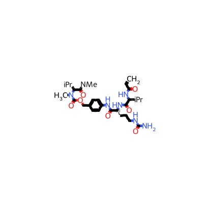 C=CC(=O)NC(C(=O)N[C@H](CCCNC(N)=O)C(=O)Nc1ccc(COC(=O)N(C)C(C(=O)NC)C(C)C)cc1)C(C)C